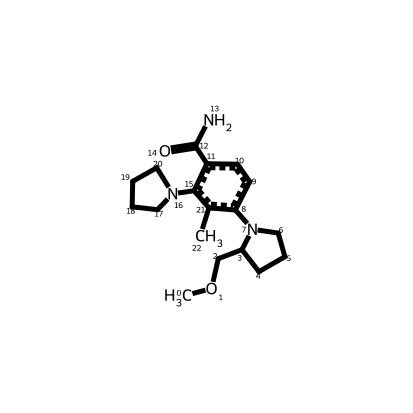 COCC1CCCN1c1ccc(C(N)=O)c(N2CCCC2)c1C